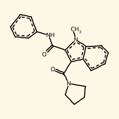 Cn1c(C(=O)Nc2ccccc2)c(C(=O)N2CCCC2)c2ccccc21